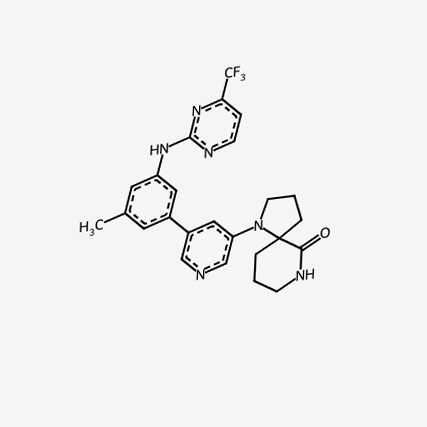 Cc1cc(Nc2nccc(C(F)(F)F)n2)cc(-c2cncc(N3CCCC34CCCNC4=O)c2)c1